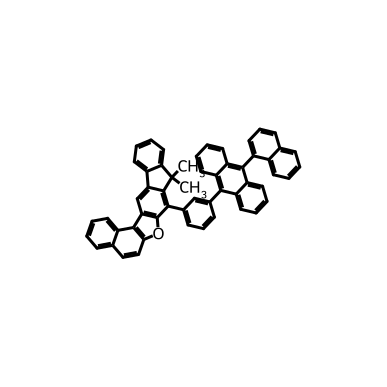 CC1(C)c2ccccc2-c2cc3c(oc4ccc5ccccc5c43)c(-c3cccc(-c4c5ccccc5c(-c5cccc6ccccc56)c5ccccc45)c3)c21